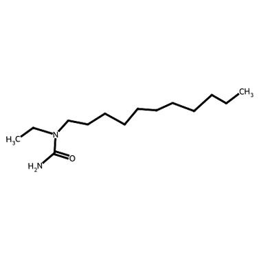 CCCCCCCCCCCN(CC)C(N)=O